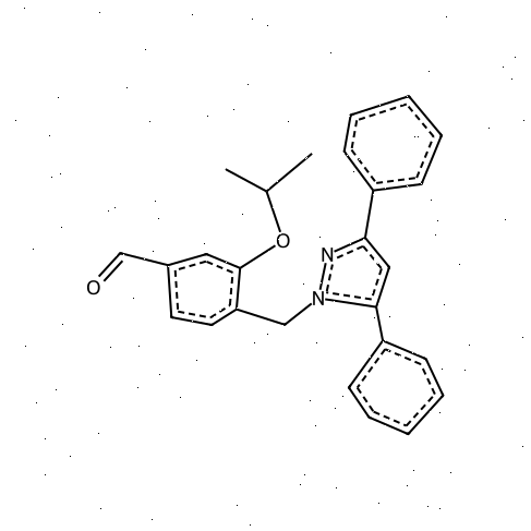 CC(C)Oc1cc(C=O)ccc1Cn1nc(-c2ccccc2)cc1-c1ccccc1